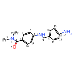 CC(C)N(C(=O)c1ccc(NCc2ccc(N)cc2)cc1)C(C)C